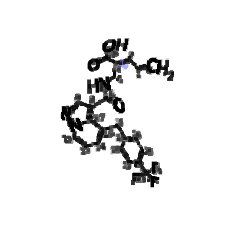 C=C/C=C(\CNC(=O)c1cnn2cccc(Cc3ccc(C(F)(F)F)cc3)c12)C(=O)O